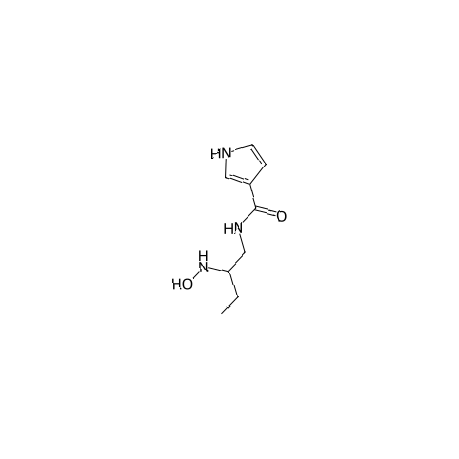 CCC(CNC(=O)c1cc[nH]c1)NO